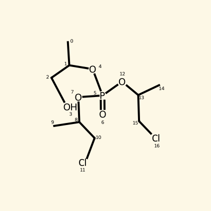 CC(CO)OP(=O)(OC(C)CCl)OC(C)CCl